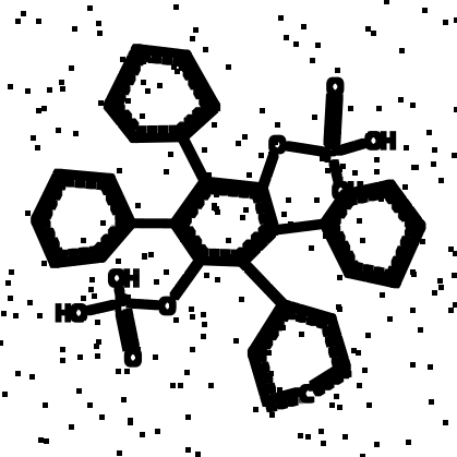 O=P(O)(O)Oc1c(-c2ccccc2)c(-c2ccccc2)c(OP(=O)(O)O)c(-c2ccccc2)c1-c1ccccc1